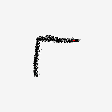 [Na+].[Na+].[Na+].[Na+].[Na+].[Na+].[Na+].[Na+].[O-]OB([O-])[O-].[O-]OB([O-])[O-].[O-]OB([O-])[O-].[O-]OB([O-])[O-].[O-]OB([O-])[O-].[O-]OB([O-])[O-].[O-]OB([O-])[O-].[O-]OB([O-])[O-].[O-]OB([O-])[O-].[O-]OB([O-])[O-].[O-]OB([O-])[O-].[O-]OB([O-])[O-].[O-]OB([O-])[O-].[O-]OB([O-])[O-].[O-]OB([O-])[O-].[O-]OB([O-])[O-].[O-]OB([O-])[O-].[O-]OB([O-])[O-].[O-]OB([O-])[O-].[O-]OB([O-])[O-].[O-]OB([O-])[O-]